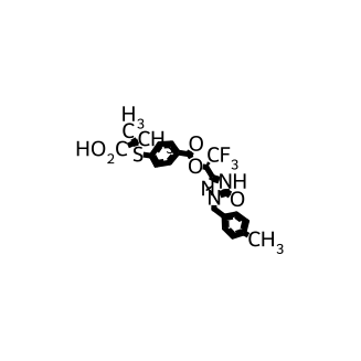 Cc1ccc(Cn2nc([C@@H](OC(=O)c3ccc(SC(C)(C)C(=O)O)cc3)C(F)(F)F)[nH]c2=O)cc1